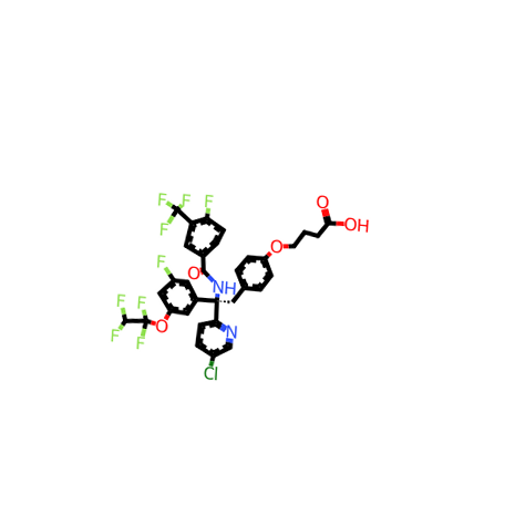 O=C(O)CCCOc1ccc(C[C@@](NC(=O)c2ccc(F)c(C(F)(F)F)c2)(c2cc(F)cc(OC(F)(F)C(F)F)c2)c2ccc(Cl)cn2)cc1